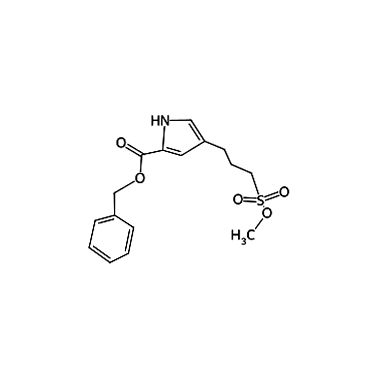 COS(=O)(=O)CCCc1c[nH]c(C(=O)OCc2ccccc2)c1